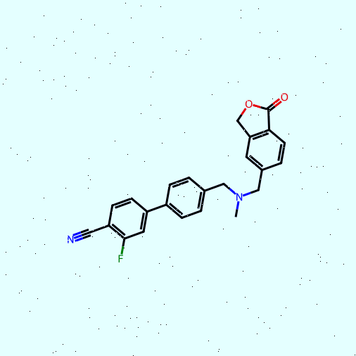 CN(Cc1ccc(-c2ccc(C#N)c(F)c2)cc1)Cc1ccc2c(c1)COC2=O